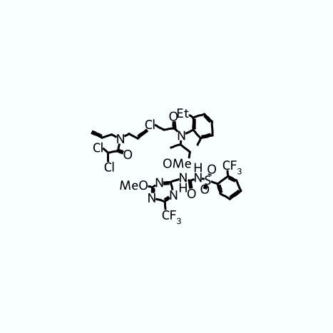 C=CCN(CC=C)C(=O)C(Cl)Cl.CCc1cccc(C)c1N(C(=O)CCl)C(C)COC.COc1nc(NC(=O)NS(=O)(=O)c2ccccc2C(F)(F)F)nc(C(F)(F)F)n1